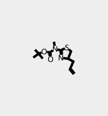 C=CCC1CSC(N(C)C(=O)OC(C)(C)C)=N1